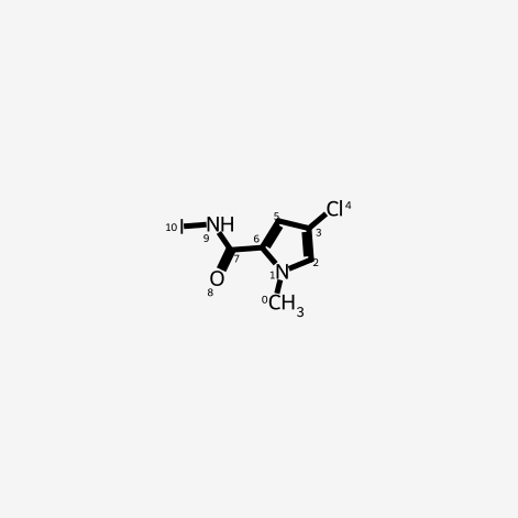 Cn1cc(Cl)cc1C(=O)NI